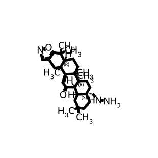 CC1(C)CC[C@]2(CNN)CC[C@]3(C)[C@H](C(=O)C=C4[C@@]5(C)Cc6cnoc6C(C)(C)[C@@H]5CC[C@]43C)[C@@H]2C1